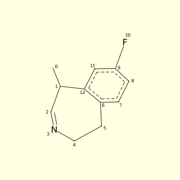 CC1C=NCCc2ccc(F)cc21